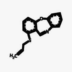 C=CCSc1cccc2c1C=Nc1ccccc1O2